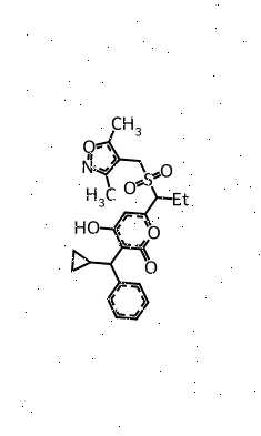 CCC(c1cc(O)c(C(c2ccccc2)C2CC2)c(=O)o1)S(=O)(=O)Cc1c(C)noc1C